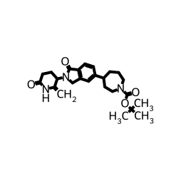 C=C1NC(=O)CCC1N1Cc2cc(C3CCCN(C(=O)OC(C)(C)C)CC3)ccc2C1=O